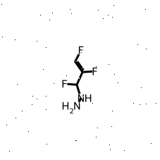 NNC(F)C(F)=CF